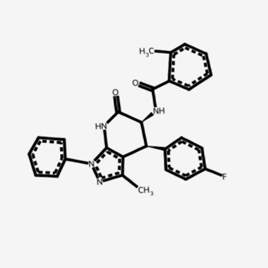 Cc1ccccc1C(=O)N[C@@H]1C(=O)Nc2c(c(C)nn2-c2ccccc2)[C@@H]1c1ccc(F)cc1